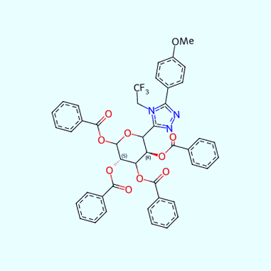 COc1ccc(-c2nnc(C3OC(OC(=O)c4ccccc4)[C@@H](OC(=O)c4ccccc4)C(OC(=O)c4ccccc4)[C@@H]3OC(=O)c3ccccc3)n2CC(F)(F)F)cc1